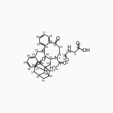 CC(=O)N1[C@@H](C(=O)NCC(=O)O)CC(=O)c2ccccc2N(Cc2ccccc2F)C(=O)[C@@H]1CC12CC3CC(CC(C3)C1)C2